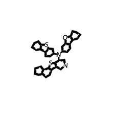 c1ccc2c(c1)ccc1c3cncc(N(c4ccc5c(c4)oc4ccccc45)c4ccc5c(c4)sc4ccccc45)c3sc21